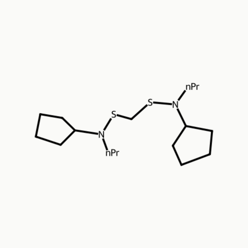 CCCN(SCSN(CCC)C1CCCC1)C1CCCC1